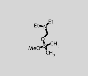 CCN(CC)CO[Si](C)(C)OC